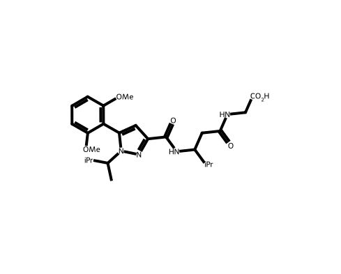 COc1cccc(OC)c1-c1cc(C(=O)NC(CC(=O)NCC(=O)O)C(C)C)nn1C(C)C(C)C